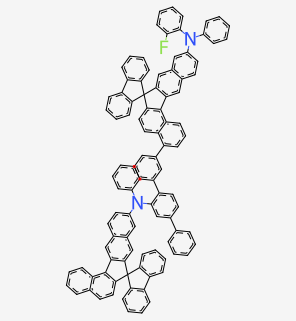 Fc1ccccc1N(c1ccccc1)c1ccc2cc3c(cc2c1)C1(c2ccccc2-c2ccccc21)c1ccc2c(-c4cccc(-c5ccc(-c6ccccc6)cc5N(c5ccccc5)c5ccc6cc7c(cc6c5)C5(c6ccccc6-c6ccccc65)c5ccc6ccccc6c5-7)c4)cccc2c1-3